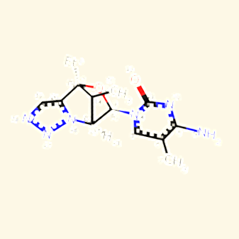 CC[C@]12O[C@@H](n3cc(C)c(N)nc3=O)[C@H](C1C)n1nncc12